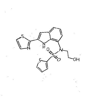 O=S(=O)(c1cccs1)N(CCO)c1cccc2cc(-c3nccs3)[nH]c12